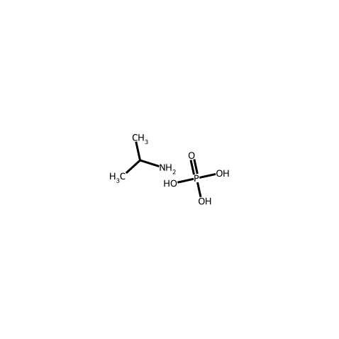 CC(C)N.O=P(O)(O)O